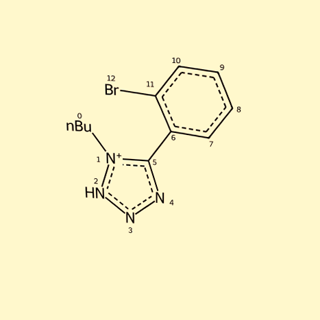 CCCC[n+]1[nH]nnc1-c1ccccc1Br